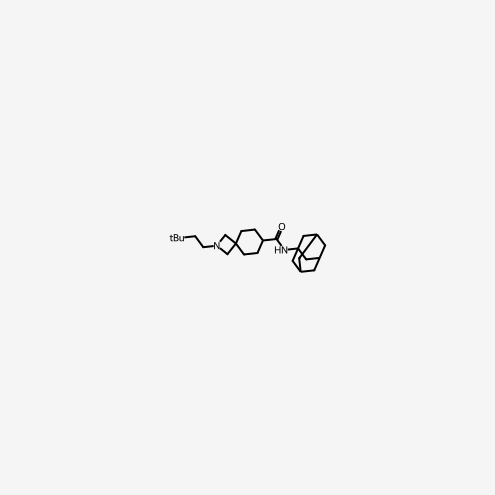 CC(C)(C)CCN1CC2(CCC(C(=O)NC34CC5CC(CC(C5)C3)C4)CC2)C1